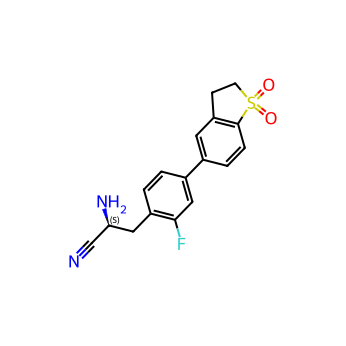 N#C[C@@H](N)Cc1ccc(-c2ccc3c(c2)CCS3(=O)=O)cc1F